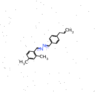 C=CCc1ccc(/C=N/N=C/c2ccc(C)cc2C)cc1